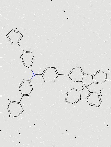 c1ccc(-c2ccc(N(c3ccc(-c4ccccc4)cc3)c3ccc(-c4ccc5c(c4)C(c4ccccc4)(c4ccccc4)c4ccccc4-5)cc3)cc2)cc1